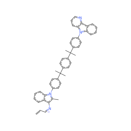 C=C/C=N\c1c(C)n(-c2ccc(C(C)(C)c3ccc(C(C)(C)c4ccc(-n5c6ccccc6c6ncccc65)cc4)cc3)cc2)c2ccccc12